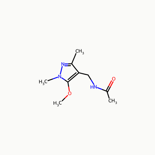 COc1c(CNC(C)=O)c(C)nn1C